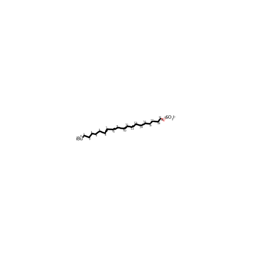 CCC(C)CCCCCCCCCCCCCCCCCCCOS(=O)(=O)O